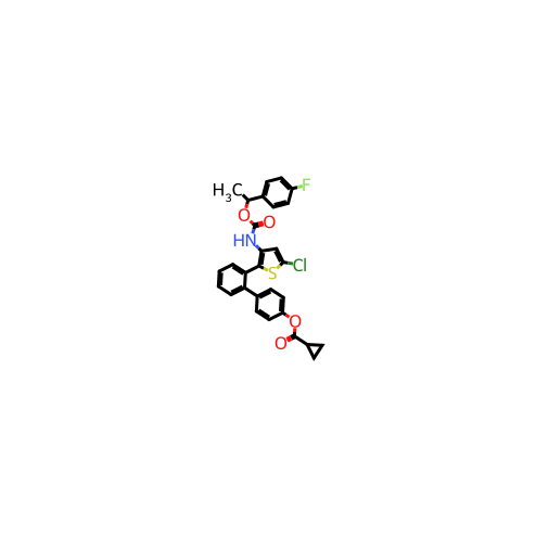 CC(OC(=O)Nc1cc(Cl)sc1-c1ccccc1-c1ccc(OC(=O)C2CC2)cc1)c1ccc(F)cc1